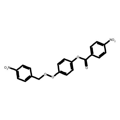 O=C(Oc1ccc(OOCc2ccc([N+](=O)[O-])cc2)cc1)c1ccc([N+](=O)[O-])cc1